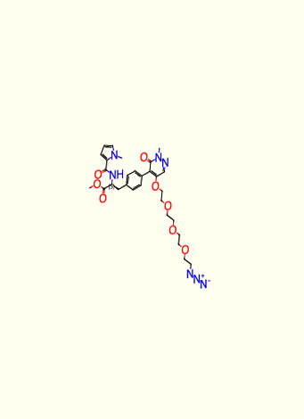 COC(=O)[C@H](Cc1ccc(-c2c(OCCOCCOCCOCCN=[N+]=[N-])cnn(C)c2=O)cc1)NC(=O)c1cccn1C